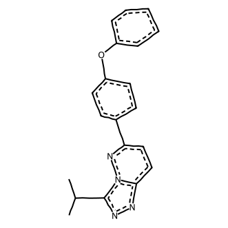 CC(C)c1nnc2ccc(-c3ccc(Oc4ccccc4)cc3)nn12